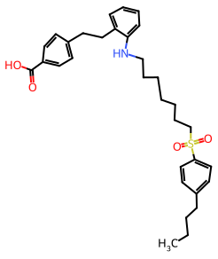 CCCCc1ccc(S(=O)(=O)CCCCCCCNc2ccccc2CCc2ccc(C(=O)O)cc2)cc1